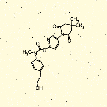 CN(C(=O)Oc1ccc(N2C(=O)CC(C)(C)CC2=O)cn1)c1ccc(CCO)cc1